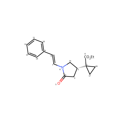 CCOC(=O)C1([C@@H]2CC(=O)N(C=Cc3ccccc3)C2)CC1